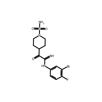 N=C(Nc1ccc(F)c(Br)c1)C(=O)C1CCN(S(N)(=O)=O)CC1